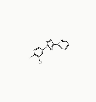 Fc1ccc(-n2nnc(-c3ccccn3)n2)cc1Cl